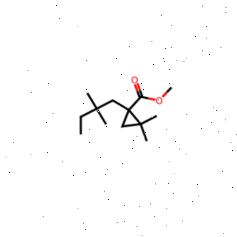 CCC(C)(C)CC1(C(=O)OC)CC1(C)C